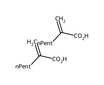 C=C(CCCCC)C(=O)O.C=C(CCCCC)C(=O)O